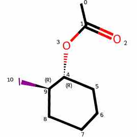 CC(=O)O[C@@H]1CCCC[C@H]1I